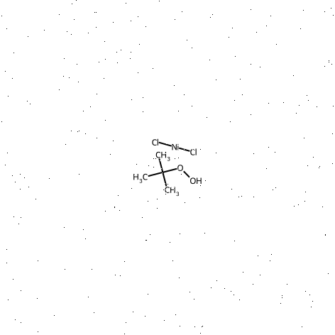 CC(C)(C)OO.[Cl][Ni][Cl]